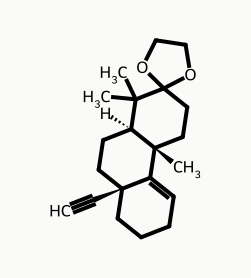 C#C[C@]12CCCC=C1[C@@]1(C)CCC3(OCCO3)C(C)(C)[C@@H]1CC2